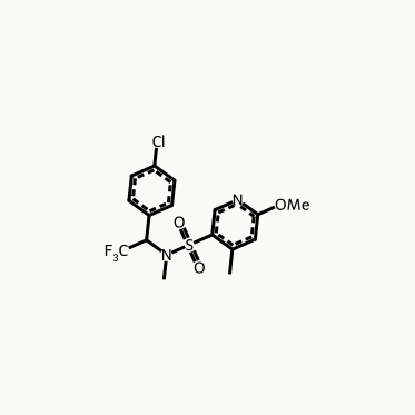 COc1cc(C)c(S(=O)(=O)N(C)C(c2ccc(Cl)cc2)C(F)(F)F)cn1